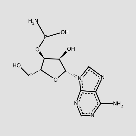 Nc1ncnc2c1ncn2[C@@H]1O[C@H](CO)[C@@H](OP(N)O)[C@H]1O